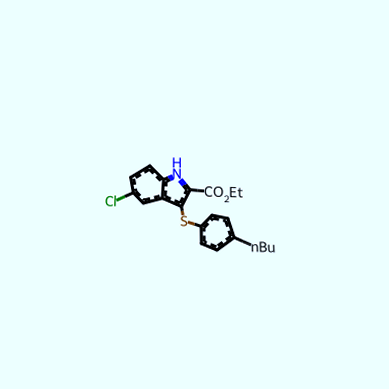 CCCCc1ccc(Sc2c(C(=O)OCC)[nH]c3ccc(Cl)cc23)cc1